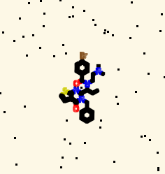 CCC(c1nc2sccc2c(=O)n1Cc1ccccc1)N(CCN(C)C)C(=O)c1ccc(Br)cc1